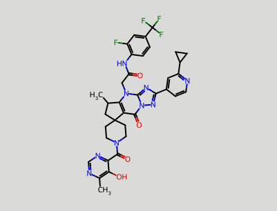 Cc1ncnc(C(=O)N2CCC3(CC2)CC(C)c2c3c(=O)n3nc(-c4ccnc(C5CC5)c4)nc3n2CC(=O)Nc2ccc(C(F)(F)F)cc2F)c1O